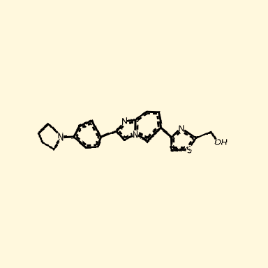 OCc1nc(-c2ccc3nc(-c4ccc(N5CCCC5)cc4)cn3c2)cs1